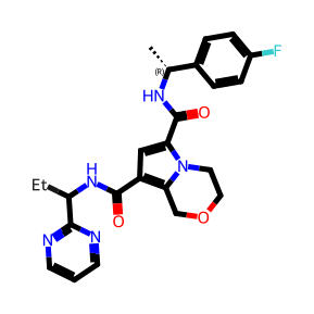 CCC(NC(=O)c1cc(C(=O)N[C@H](C)c2ccc(F)cc2)n2c1COCC2)c1ncccn1